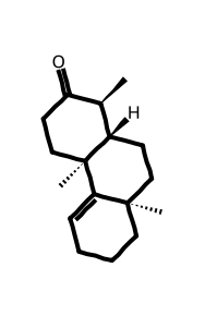 C[C@@H]1C(=O)CC[C@]2(C)C3=CCCC[C@]3(C)CC[C@@H]12